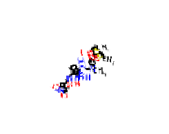 Cc1ccc(C(O)(C(=O)O[C@H]2CC[C@H](N(C)CCCNc3c(N=N)cc(CNC[C@H](O)c4ccc(O)c5[nH]c(=O)ccc45)c4c3CCC4)CC2)c2ccc(C)s2)s1